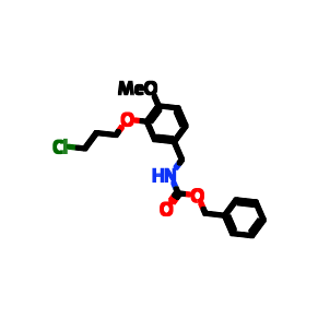 COc1ccc(CNC(=O)OCc2ccccc2)cc1OCCCCl